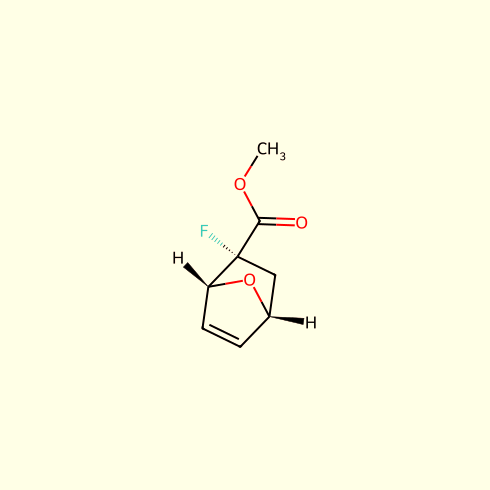 COC(=O)[C@@]1(F)C[C@@H]2C=C[C@H]1O2